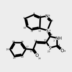 O=C1NC(=S2C=Nc3ccccc32)C(=CC(=O)c2ccccc2)S1